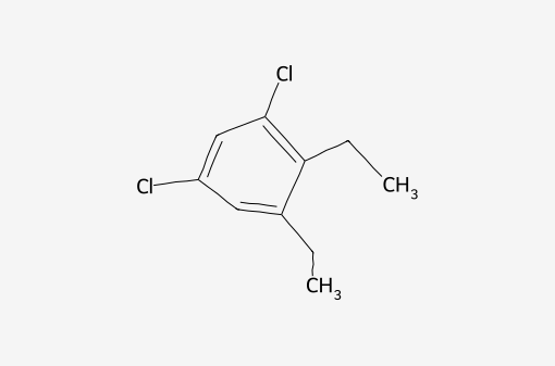 CCc1cc(Cl)cc(Cl)c1CC